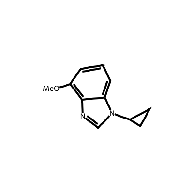 COc1c[c]cc2c1ncn2C1CC1